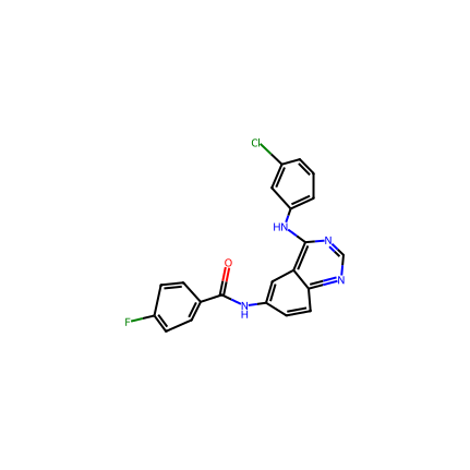 O=C(Nc1ccc2ncnc(Nc3cccc(Cl)c3)c2c1)c1ccc(F)cc1